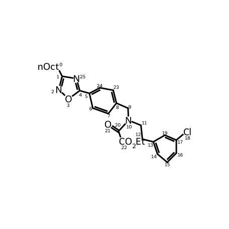 CCCCCCCCc1noc(-c2ccc(CN(CCc3cccc(Cl)c3)C(=O)C(=O)OCC)cc2)n1